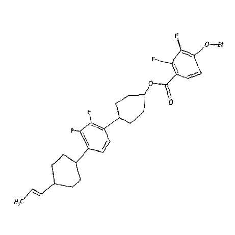 C/C=C/C1CCC(c2ccc(C3CCC(OC(=O)c4ccc(OCC)c(F)c4F)CC3)c(F)c2F)CC1